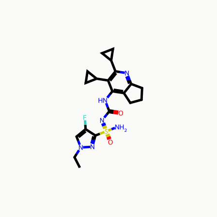 CCn1cc(F)c(S(N)(=O)=NC(=O)Nc2c3c(nc(C4CC4)c2C2CC2)CCC3)n1